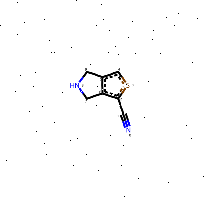 N#Cc1scc2c1CNC2